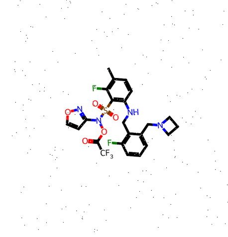 Cc1ccc(NCc2c(F)cccc2CN2CCC2)c(S(=O)(=O)N(OC(=O)C(F)(F)F)c2ccon2)c1F